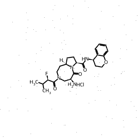 CC(C)[C@@H](F)C(=O)N1CC[C@H]2CC[C@@H](C(=O)N[C@@H]3CCOc4ccccc43)N2C(=O)[C@@H](N)C1.Cl